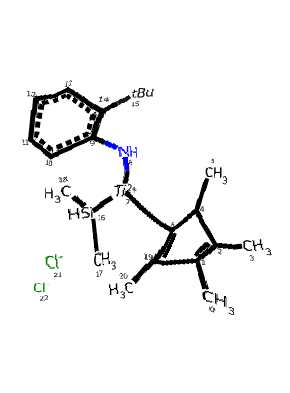 CC1=C(C)C(C)[C]([Ti+2]([NH]c2ccccc2C(C)(C)C)[SiH](C)C)=C1C.[Cl-].[Cl-]